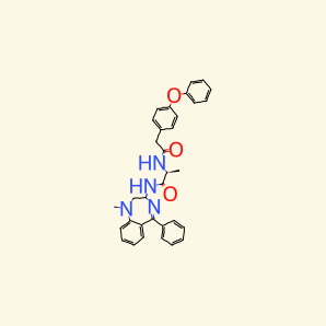 C[C@H](NC(=O)Cc1ccc(Oc2ccccc2)cc1)C(=O)N[C@@H]1CN(C)c2ccccc2C(c2ccccc2)=N1